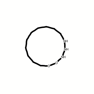 C1CCCCCOONNNCCCC1